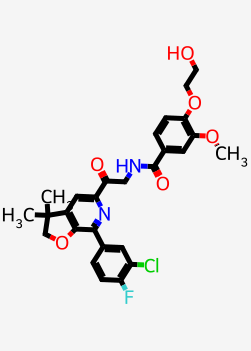 COc1cc(C(=O)NCC(=O)c2cc3c(c(-c4ccc(F)c(Cl)c4)n2)OCC3(C)C)ccc1OCCO